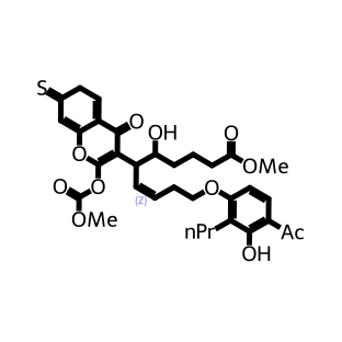 CCCc1c(OCC/C=C\C(c2c(OC(=O)OC)oc3c(c2=O)=CCC(=S)C=3)C(O)CCCC(=O)OC)ccc(C(C)=O)c1O